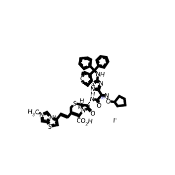 Cn1cc2scc(C=CC3=C(C(=O)O)N4C(=O)[C@@H](NC(=O)/C(=N\OC5CCCC5)c5nsc(NC(c6ccccc6)(c6ccccc6)c6ccccc6)n5)[C@H]4SC3)[n+]2c1.[I-]